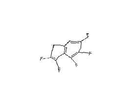 FC1=C(F)c2c(cc(F)c(F)c2F)[CH]1